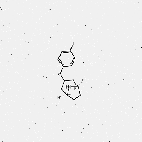 Ic1ccc(OC2C[C@H]3CC[C@@H](C2)N3)cc1